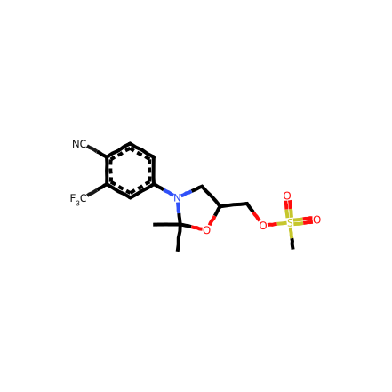 CC1(C)OC(COS(C)(=O)=O)CN1c1ccc(C#N)c(C(F)(F)F)c1